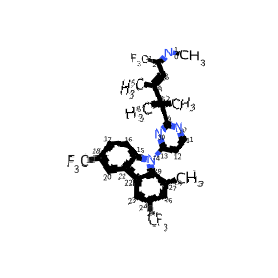 C/N=C(\C=C(/C)C(C)(C)c1nccc(-n2c3ccc(C(F)(F)F)cc3c3cc(C(F)(F)F)cc(C)c32)n1)C(F)(F)F